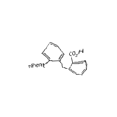 CCCCCc1ccccc1Cc1ccccc1C(=O)O